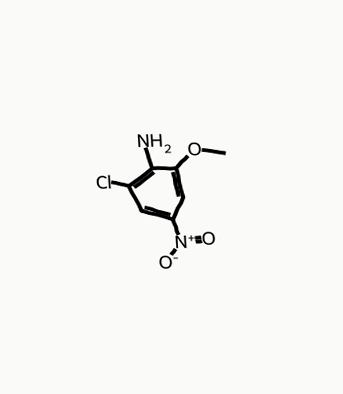 COc1cc([N+](=O)[O-])cc(Cl)c1N